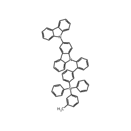 Cc1cccc([Si](c2ccccc2)(c2ccccc2)c2cccc(-c3ccccc3-n3c4ccccc4c4cc(-n5c6ccccc6c6ccccc65)ccc43)c2)c1